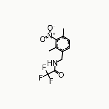 Cc1ccc(CNC(=O)C(F)(F)F)c(C)c1[N+](=O)[O-]